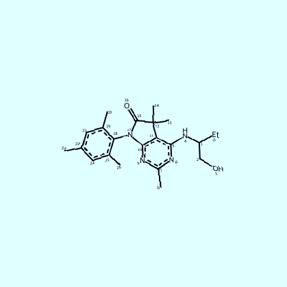 CCC(CO)Nc1nc(C)nc2c1C(C)(C)C(=O)N2c1c(C)cc(C)cc1C